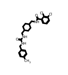 Cc1ccc(CNC(=O)NCC2CCC(CNC(=O)c3cccc(Cl)c3Cl)CC2)cc1